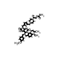 CCCCOc1nc(N(Cc2ccc(OC)cc2)Cc2ccc(OC)cc2)c2[nH]c(=O)n(Cc3ccc(CN4CCN(C(=O)COC(N)=O)CC4)s3)c2n1